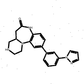 O=C1CC2CNCCN2c2cc(-c3cccc(-n4cccn4)c3)ccc2N1